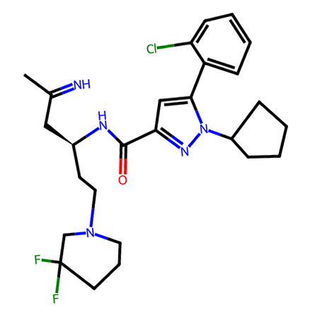 CC(=N)C[C@H](CCN1CCCC(F)(F)C1)NC(=O)c1cc(-c2ccccc2Cl)n(C2CCCC2)n1